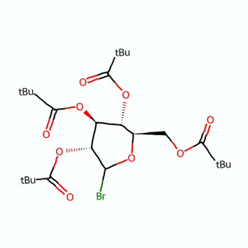 CC(C)(C)C(=O)OC[C@H]1OC(Br)[C@H](OC(=O)C(C)(C)C)[C@@H](OC(=O)C(C)(C)C)[C@@H]1OC(=O)C(C)(C)C